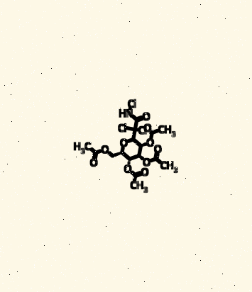 CC(=O)OC[C@H]1OC(C(Cl)(Cl)C(=O)NCl)[C@@H](OC(C)=O)[C@@H](OC(C)=O)[C@@H]1OC(C)=O